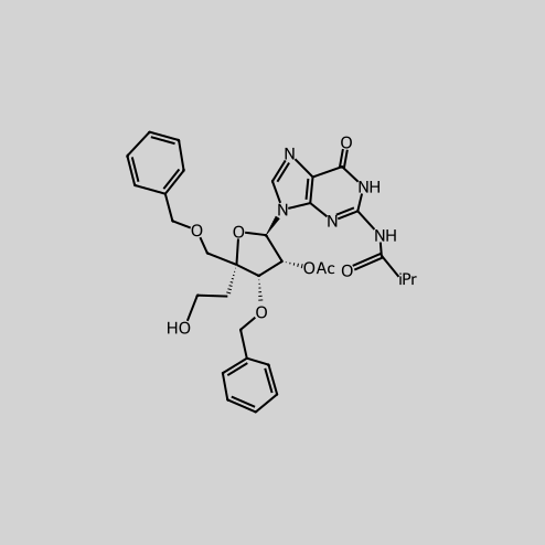 CC(=O)O[C@H]1[C@H](n2cnc3c(=O)[nH]c(NC(=O)C(C)C)nc32)O[C@](CCO)(COCc2ccccc2)[C@H]1OCc1ccccc1